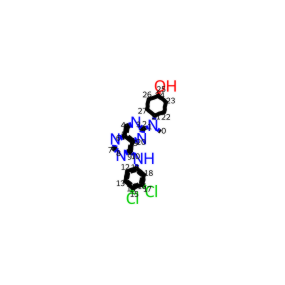 CN(c1ncc2ncnc(Nc3ccc(Cl)c(Cl)c3)c2n1)C1CCC(O)CC1